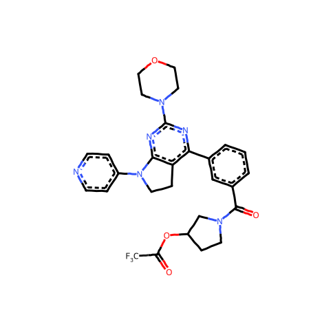 O=C(c1cccc(-c2nc(N3CCOCC3)nc3c2CCN3c2ccncc2)c1)N1CCC(OC(=O)C(F)(F)F)C1